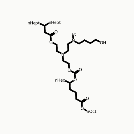 CCCCCCCCOC(=O)CCCC(CCCCCC)OC(=O)OCCN(CCOC(=O)CC(CCCCCCC)CCCCCCC)CCN(CC)CCCCO